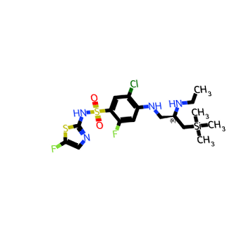 CCN[C@H](CNc1cc(F)c(S(=O)(=O)Nc2ncc(F)s2)cc1Cl)C[Si](C)(C)C